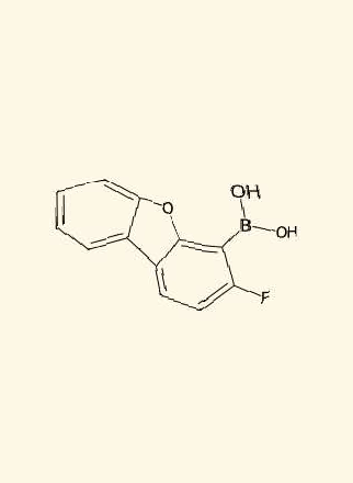 OB(O)c1c(F)ccc2c1oc1ccccc12